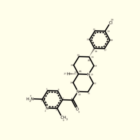 Cc1nc(N)ccc1C(=O)N1CCN2C[C@@H](c3ccc(Cl)cc3)CC[C@@H]2C1